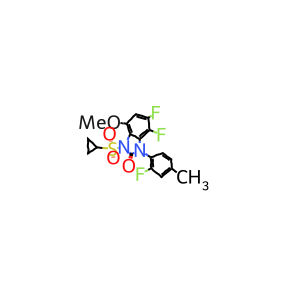 COc1cc(F)c(F)c2c1n(S(=O)(=O)C1CC1)c(=O)n2-c1ccc(C)cc1F